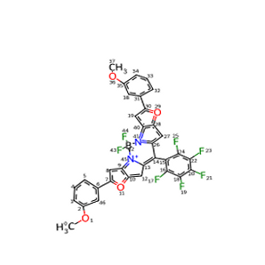 COc1cccc(-c2cc3c(o2)=CC2=C(c4c(F)c(F)c(F)c(F)c4F)c4cc5oc(-c6cccc(OC)c6)cc5n4[B-](F)(F)[N+]=32)c1